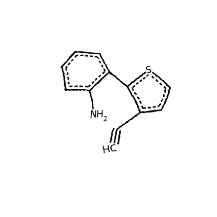 C#Cc1ccsc1-c1ccccc1N